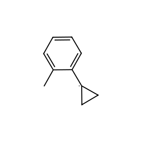 Cc1ccccc1[C]1CC1